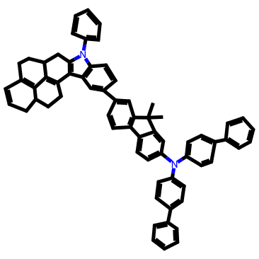 CC1(C)c2cc(-c3ccc4c(c3)c3c(n4-c4ccccc4)CC4CCC5=C6C4=C3CCC6CC=C5)ccc2-c2ccc(N(c3ccc(-c4ccccc4)cc3)c3ccc(-c4ccccc4)cc3)cc21